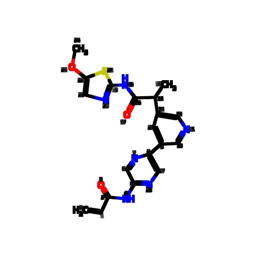 C=CC(=O)Nc1cnc(-c2cncc(C(C)C(=O)Nc3ncc(OC)s3)c2)cn1